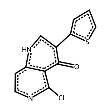 O=c1c(-c2cccs2)c[nH]c2ccnc(Cl)c12